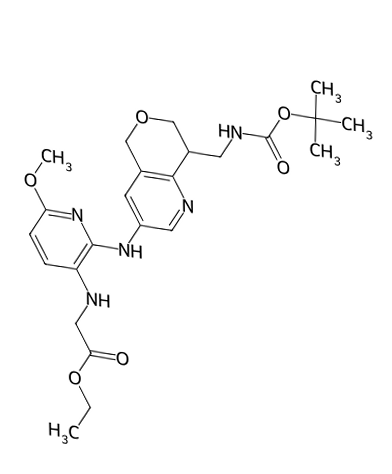 CCOC(=O)CNc1ccc(OC)nc1Nc1cnc2c(c1)COCC2CNC(=O)OC(C)(C)C